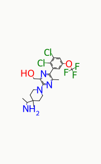 Cc1nc(N2CCC(C)(C(C)N)CC2)c(CO)nc1-c1cc(OC(F)(F)F)cc(Cl)c1Cl